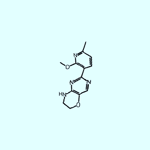 COc1nc(C)ccc1-c1ncc2c(n1)NCCO2